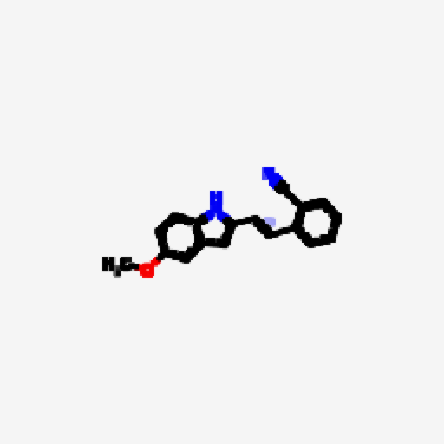 COc1ccc2[nH]c(/C=C/c3ccccc3C#N)cc2c1